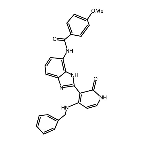 COc1ccc(C(=O)Nc2cccc3nc(-c4c(NCc5ccccc5)cc[nH]c4=O)[nH]c23)cc1